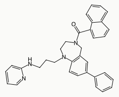 O=C(c1cccc2ccccc12)N1CCN(CCCNc2ccccn2)c2ccc(-c3ccccc3)cc2C1